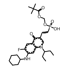 CCC(CC)n1cc(C=CP(=O)(O)OCOC(=O)C(C)(C)C)c(=O)c2cc(F)c(NC3CCCCC3)cc21